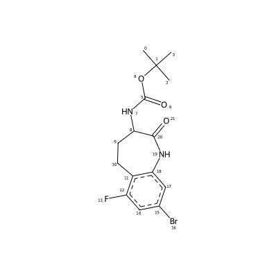 CC(C)(C)OC(=O)NC1CCc2c(F)cc(Br)cc2NC1=O